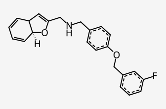 Fc1cccc(COc2ccc(CNCC3=CC4C=CC=C[C@@H]4O3)cc2)c1